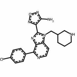 Nc1nonc1-c1nc2c(-c3ccc(Cl)cc3)nccc2n1CC1CCCNC1